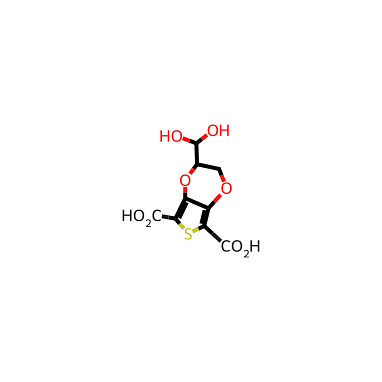 O=C(O)c1sc(C(=O)O)c2c1OCC(C(O)O)O2